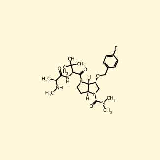 CN[C@@H](C)C(=O)N[C@H](C(=O)N1CC[C@@H]2[C@H]1[C@@H](OCc1ccc(F)cc1)CN2C(=O)N(C)C)C(C)(C)C